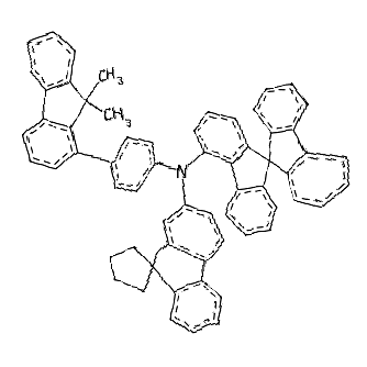 CC1(C)c2ccccc2-c2cccc(-c3ccc(N(c4ccc5c(c4)C4(CCCC4)c4ccccc4-5)c4cccc5c4-c4ccccc4C54c5ccccc5-c5ccccc54)cc3)c21